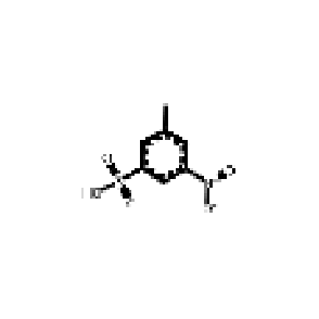 Cc1cc([N+](=O)[O-])cc(S(=O)(=O)O)c1